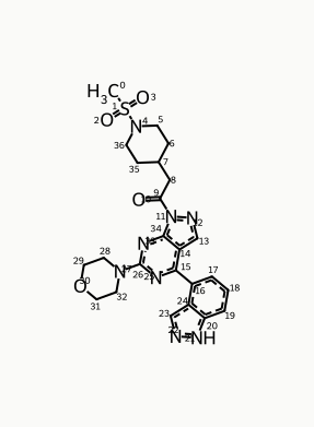 CS(=O)(=O)N1CCC(CC(=O)n2ncc3c(-c4cccc5[nH]ncc45)nc(N4CCOCC4)nc32)CC1